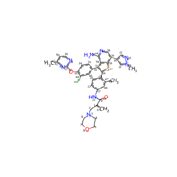 C=C(CN1CCOCC1)C(=O)Nc1ccc(-c2sc3c(-c4cnn(C)c4)cnc(N)c3c2-c2ccc(Oc3nccc(C)n3)c(F)c2)c(C)c1